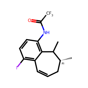 CC1c2c(NC(=O)C(F)(F)F)ccc(I)c2C=CC[C@H]1C